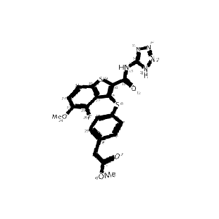 COC(=O)Cc1ccc(Sc2c(C(=O)Nc3nnn[nH]3)sc3ccc(OC)c(F)c23)cc1